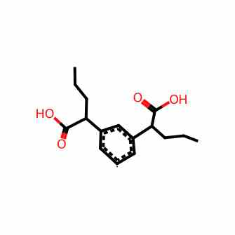 CCCC(C(=O)O)c1c[c]cc(C(CCC)C(=O)O)c1